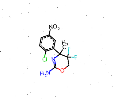 CC1(c2cc([N+](=O)[O-])ccc2Cl)N=C(N)OCC1(F)F